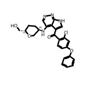 O=C(c1ccc(Oc2ccccc2)cc1Cl)c1c[nH]c2nncc(N[C@@H]3CC[C@@H](CO)OC3)c12